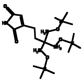 C[Si](C)(C)O[SiH2]C(CCC1=CC(=O)NC1=O)([SiH2]O[Si](C)(C)C)[SiH2]O[Si](C)(C)C